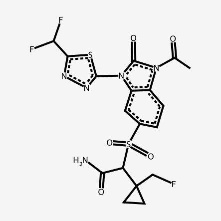 CC(=O)n1c(=O)n(-c2nnc(C(F)F)s2)c2cc(S(=O)(=O)C(C(N)=O)C3(CF)CC3)ccc21